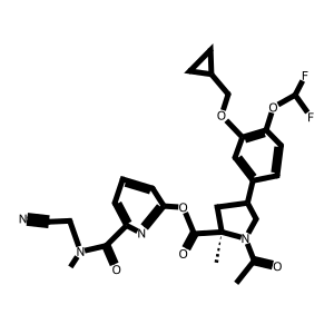 CC(=O)N1CC(c2ccc(OC(F)F)c(OCC3CC3)c2)C[C@]1(C)C(=O)Oc1cccc(C(=O)N(C)CC#N)n1